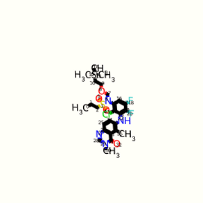 CCCS(=O)(=O)N(COCC[Si](C)(C)C)c1cc(F)c(F)c(Nc2ccc3ncn(C)c(=O)c3c2C)c1Cl